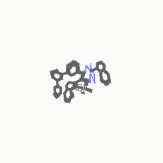 C[Si]1(C)c2nc(-c3cccc4ccccc34)nc(-c3cccc(-c4cccc(-c5ccccc5)c4)c3)c2-c2ccc3ccccc3c21